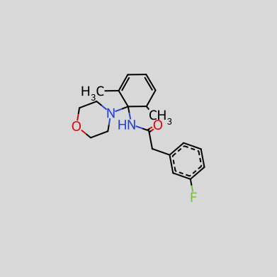 CC1=CC=CC(C)C1(NC(=O)Cc1cccc(F)c1)N1CCOCC1